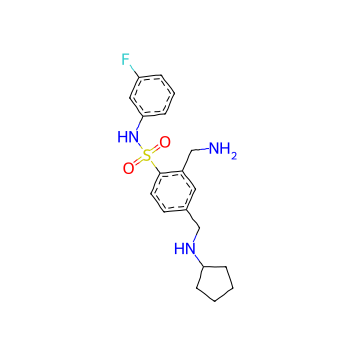 NCc1cc(CNC2CCCC2)ccc1S(=O)(=O)Nc1cccc(F)c1